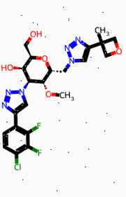 CO[C@@H]1[C@@H](n2cc(-c3ccc(Cl)c(F)c3F)nn2)[C@@H](O)[C@@H](CO)O[C@@H]1Cn1cc(C2(C)COC2)nn1